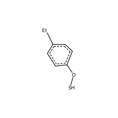 CCc1ccc(OS)cc1